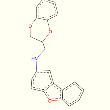 c1ccc2c(c1)OCC(CNc1ccc3oc4ccccc4c3c1)O2